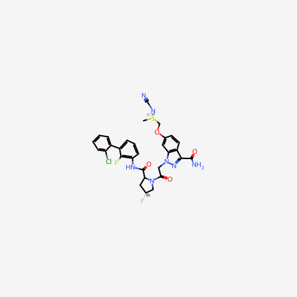 C/S(COc1ccc2c(C(N)=O)nn(CC(=O)N3C[C@H](F)CC3C(=O)Nc3cccc(-c4ccccc4Cl)c3F)c2c1)=N\C#N